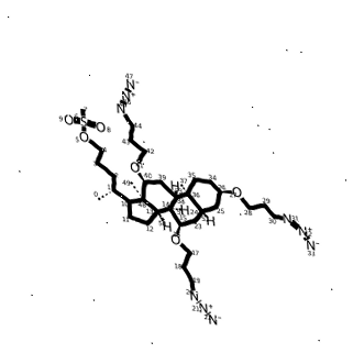 C[C@H](CCCOS(C)(=O)=O)C1CC[C@H]2[C@@H]3[C@H](OCCCN=[N+]=[N-])C[C@@H]4C[C@H](OCCCN=[N+]=[N-])CC[C@]4(C)[C@H]3C[C@H](OCCCN=[N+]=[N-])[C@]12C